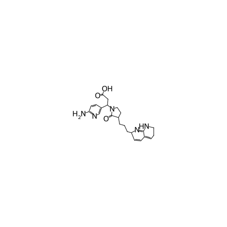 Nc1ccc(C(CC(=O)O)N2CCC(CCCC3C=CC4=CCCNC4=N3)C2=O)cn1